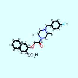 C[C@@H]1CN(Cc2ccc(F)cc2)[C@@H](C)CN1C(=O)COc1cc2ccccc2cc1C(=O)O